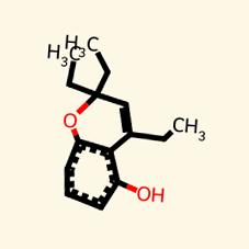 CCC1=CC(CC)(CC)Oc2cccc(O)c21